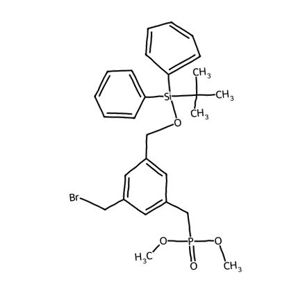 COP(=O)(Cc1cc(CBr)cc(CO[Si](c2ccccc2)(c2ccccc2)C(C)(C)C)c1)OC